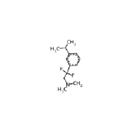 CC(C)c1cccc(C(F)(F)CN(C)C)c1